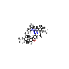 Bc1c(B)c(B)c(-c2ccc3oc4ccc(-c5nc(-c6c(B)c(B)c(B)c(B)c6B)nc(-n6c7ccccc7c7ccccc76)n5)cc4c3c2)c(B)c1B